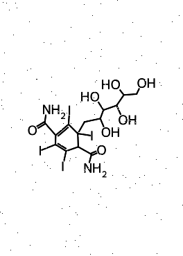 NC(=O)C1=C(I)C(I)(CC(O)C(O)C(O)C(O)CO)C(C(N)=O)C(I)=C1I